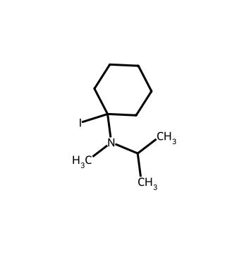 CC(C)N(C)C1(I)CCCCC1